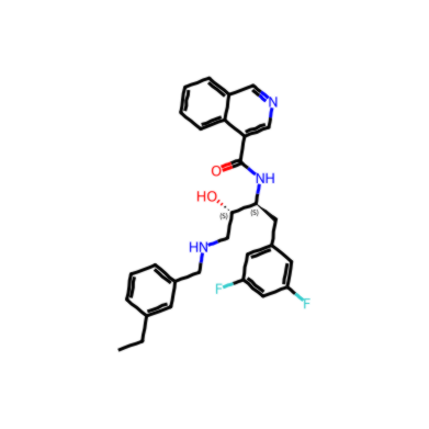 CCc1cccc(CNC[C@H](O)[C@H](Cc2cc(F)cc(F)c2)NC(=O)c2cncc3ccccc23)c1